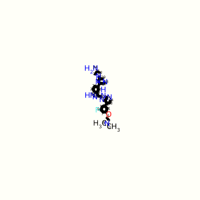 CN(C)CCOc1cc(F)cc(-c2ccnc3[nH]c(-c4n[nH]c5ccc(-c6cncc(N7CC(N)C7)n6)cc45)nc23)c1